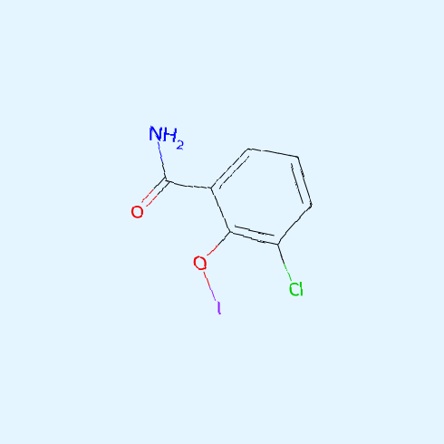 NC(=O)c1cccc(Cl)c1OI